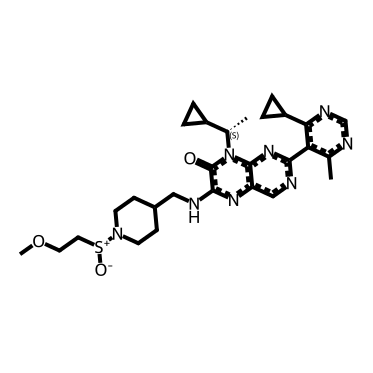 COCC[S+]([O-])N1CCC(CNc2nc3cnc(-c4c(C)ncnc4C4CC4)nc3n([C@@H](C)C3CC3)c2=O)CC1